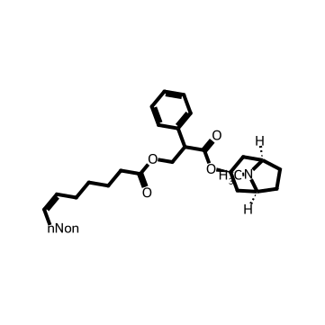 CCCCCCCCC/C=C\CCCCC(=O)OCC(C(=O)O[C@H]1C[C@H]2CC[C@@H](C1)N2C)c1ccccc1